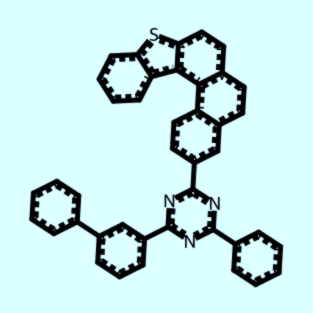 c1ccc(-c2cccc(-c3nc(-c4ccccc4)nc(-c4ccc5c(ccc6ccc7sc8ccccc8c7c65)c4)n3)c2)cc1